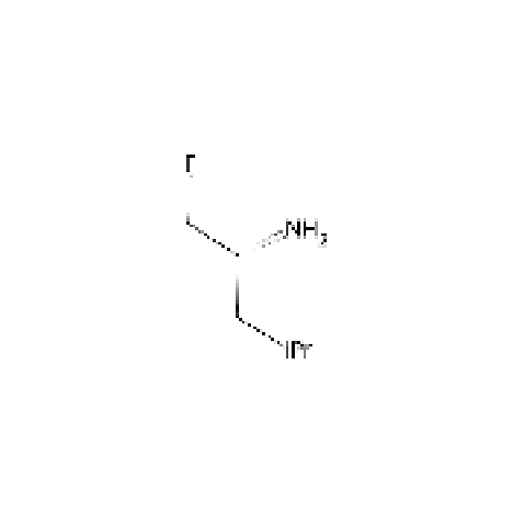 CC(C)C[C@@H](N)CF